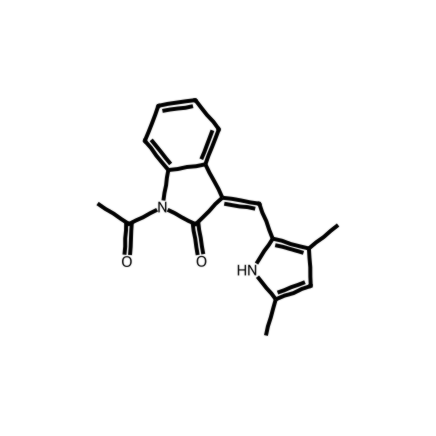 CC(=O)N1C(=O)C(=Cc2[nH]c(C)cc2C)c2ccccc21